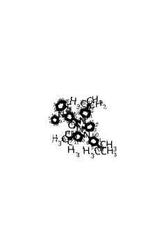 CC(C)(C)c1ccc(N2c3ccc(C(C)(C)C)cc3-n3c4oc5cc6c(cc5c4n(-c4ccc(C(C)(C)C)cc4)c4cccc2c43)sc2ccccc2n6-c2ccccc2)cc1